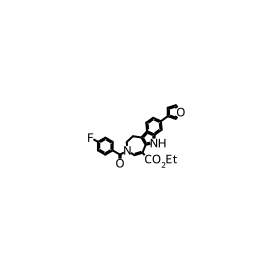 CCOC(=O)C1=CN(C(=O)c2ccc(F)cc2)CCc2c1[nH]c1cc(-c3ccoc3)ccc21